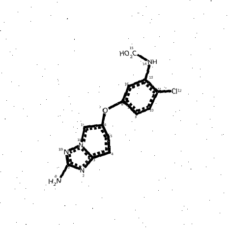 Nc1nc2ccc(Oc3ccc(Cl)c(NC(=O)O)c3)cn2n1